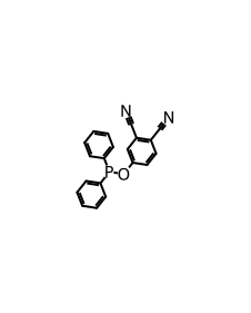 N#Cc1ccc(OP(c2ccccc2)c2ccccc2)cc1C#N